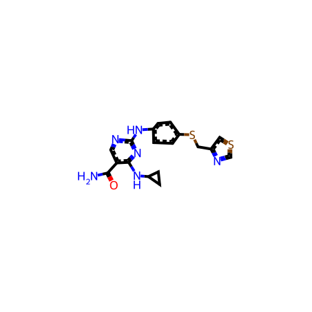 NC(=O)c1cnc(Nc2ccc(SCc3cscn3)cc2)nc1NC1CC1